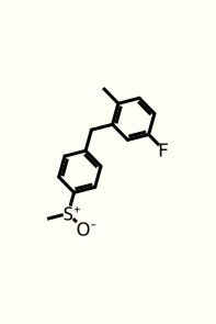 Cc1ccc(F)cc1Cc1ccc([S+](C)[O-])cc1